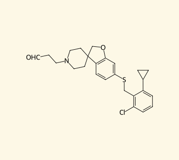 O=CCCN1CCC2(CC1)COc1cc(SCc3c(Cl)cccc3C3CC3)ccc12